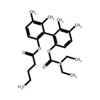 CCCCC(=O)Oc1ccc(C)c(C)c1-c1c(OC(=O)N(CC)CC)ccc(C)c1C